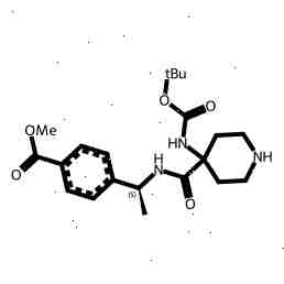 COC(=O)c1ccc([C@H](C)NC(=O)C2(NC(=O)OC(C)(C)C)CCNCC2)cc1